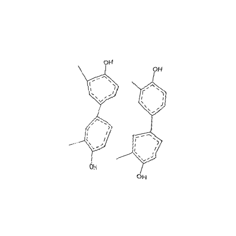 Cc1cc(-c2ccc(O)c(C)c2)ccc1O.Cc1cc(-c2ccc(O)c(C)c2)ccc1O